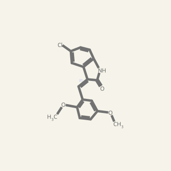 COc1ccc(OC)c(/C=C2\C(=O)Nc3ccc(Cl)cc32)c1